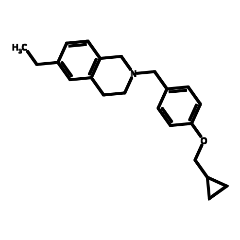 CCc1ccc2c(c1)CCN(Cc1ccc(OCC3CC3)cc1)C2